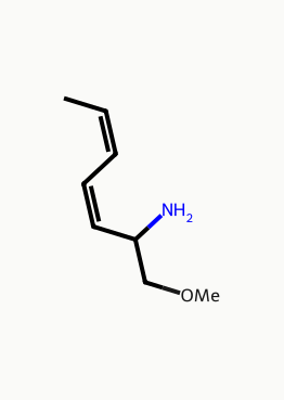 C/C=C\C=C/C(N)COC